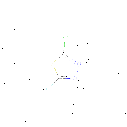 Fc1nnc(Cl)s1